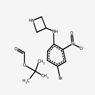 CC(C)(C)OC=O.O=[N+]([O-])c1cc(Br)ccc1NC1CNC1